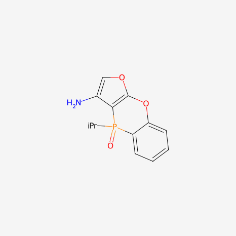 CC(C)P1(=O)c2ccccc2Oc2occ(N)c21